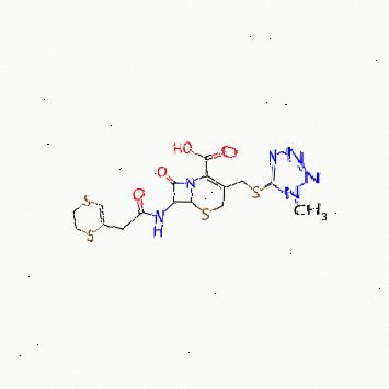 Cn1nnnc1SCC1=C(C(=O)O)N2C(=O)C(NC(=O)CC3=CSCCS3)C2SC1